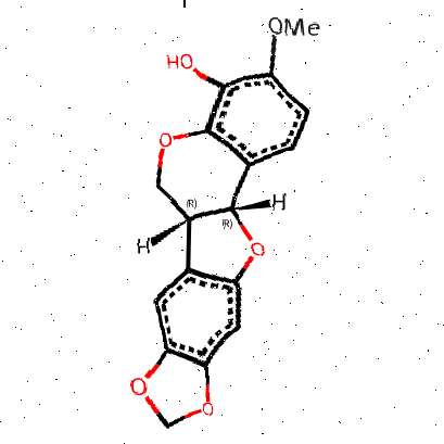 COc1ccc2c(c1O)OC[C@H]1c3cc4c(cc3O[C@@H]21)OCO4